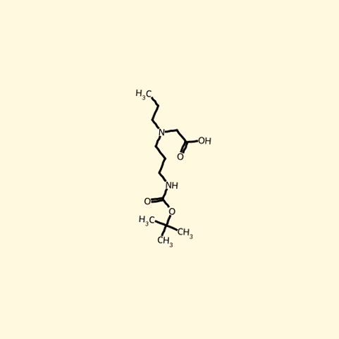 CCCN(CCCNC(=O)OC(C)(C)C)CC(=O)O